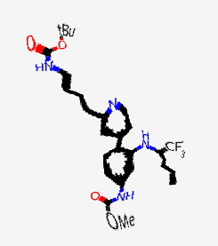 C=CCC(Nc1cc(NC(=O)OC)ccc1-c1ccnc(CCC=CNC(=O)OC(C)(C)C)c1)C(F)(F)F